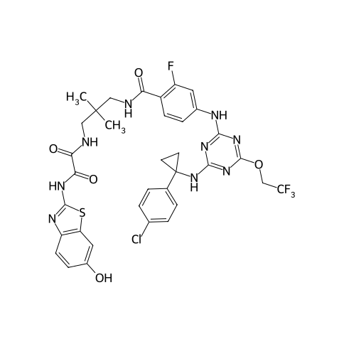 CC(C)(CNC(=O)C(=O)Nc1nc2ccc(O)cc2s1)CNC(=O)c1ccc(Nc2nc(NC3(c4ccc(Cl)cc4)CC3)nc(OCC(F)(F)F)n2)cc1F